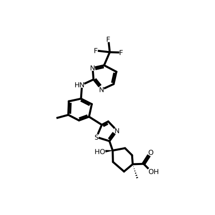 Cc1cc(Nc2nccc(C(F)(F)F)n2)cc(-c2cnc([C@]3(O)CC[C@@](C)(C(=O)O)CC3)s2)c1